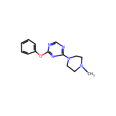 CN1CCN(c2ncnc(Oc3ccccc3)n2)CC1